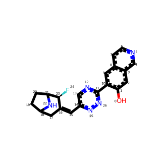 Oc1cc2cnccc2cc1-c1ncc(/C=C2/CC3CCC(N3)[C@H]2F)nn1